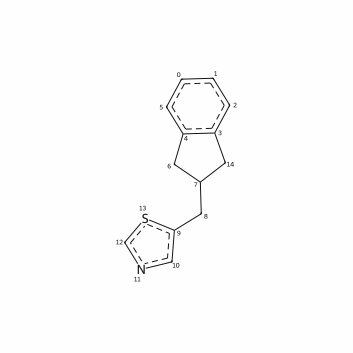 c1ccc2c(c1)CC(Cc1cncs1)C2